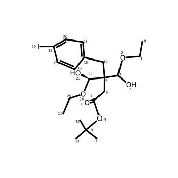 CCOC(O)C(CC(=O)OC(C)(C)C)(Cc1ccc(I)cc1)[C@H](O)OCC